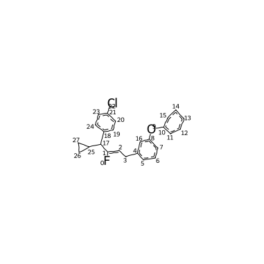 FC(=CCc1cccc(Oc2ccccc2)c1)C(c1ccc(Cl)cc1)C1CC1